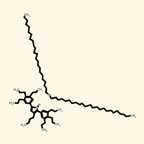 CCCCC1=C(c2cc(CCC)c(CCC)c(CCC)c2)[N+](=[N-])C(c2cc(CCC)c(CCC)c(CCC)c2)=C1.CCCCCCCCCCCCCCCCCCCCCCC[CH2][Ni][CH2]CCCCCCCCCCCCCCCCCCCCCCC